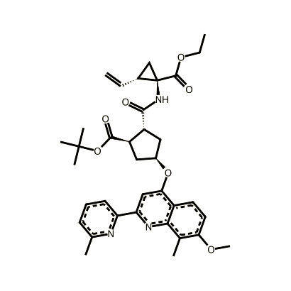 C=C[C@@H]1C[C@]1(NC(=O)[C@@H]1C[C@@H](Oc2cc(-c3cccc(C)n3)nc3c(C)c(OC)ccc23)C[C@H]1C(=O)OC(C)(C)C)C(=O)OCC